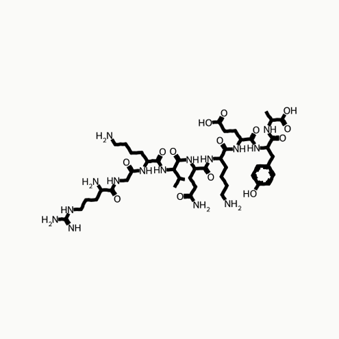 CC(NC(=O)C(Cc1ccc(O)cc1)NC(=O)C(CCC(=O)O)NC(=O)C(CCCCN)NC(=O)C(CCC(N)=O)NC(=O)C(NC(=O)C(CCCCN)NC(=O)CNC(=O)C(N)CCCNC(=N)N)C(C)C)C(=O)O